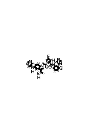 CC(O)c1cn(CC(=O)N2C[C@H](F)C[C@H]2C(=O)Nc2cccc(Cl)c2-n2cncn2)c2ccc(Nc3cncnc3)cc12